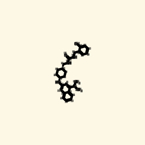 CN(C)c1nc(N[C@H]2CC[C@@H](CNC(=O)NCc3ccccc3Cl)CC2)nc2ccccc12